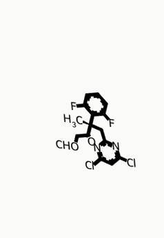 C[C@@](Cc1nc(Cl)cc(Cl)n1)(C(=O)CC=O)c1c(F)cccc1F